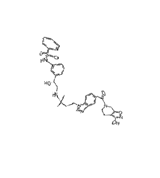 CC(C)(CCn1cnc2cc(C(=O)N3CCc4c(O)noc4C3)ccc21)NC[C@H](O)c1cccc(NS(=O)(=O)c2ccccc2)c1